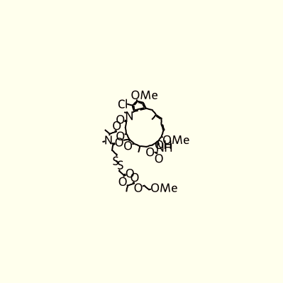 COCCOC(=O)C(C)OC(=O)CSSCCC(=O)N(C)C(C)C(=O)OC1CC(=O)N(C)c2cc(cc(OC)c2Cl)C/C(C)=C/C=C/C(OC)C2(O)CC(OC(=O)N2)C(C)C2OC12C